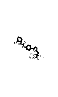 COC(=O)C(C)(C)Cc1ncc(-c2ccc(NC(=O)Nc3ccccc3Cl)cc2)o1